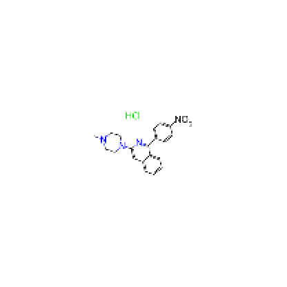 CN1CCN(c2cc3ccccc3c(-c3ccc([N+](=O)[O-])cc3)n2)CC1.Cl